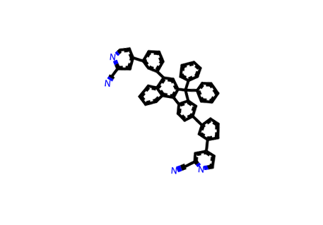 N#Cc1cc(-c2cccc(-c3ccc4c(c3)C(c3ccccc3)(c3ccccc3)c3cc(-c5cccc(-c6ccnc(C#N)c6)c5)c5ccccc5c3-4)c2)ccn1